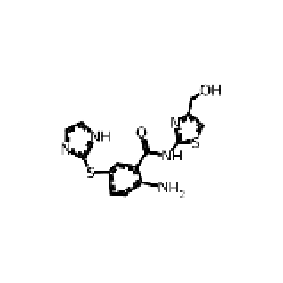 Nc1ccc(Sc2ncc[nH]2)cc1C(=O)Nc1nc(CO)cs1